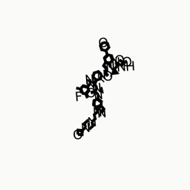 Cc1cc(-n2nc3c(c2-n2ccn(-c4ccc5c(cnn5CCN5CCN(C6COC6)CC5)c4)c2=O)[C@H](C)N(C(=O)c2cc4cc(C5CCOCC5)ccc4n2[C@@]2(c4noc(=O)[nH]4)C[C@@H]2C)CC3)cc(C)c1F